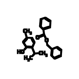 Cc1ccc(C(C)C)c(O)c1.O=C(OCc1ccccc1)c1ccccc1